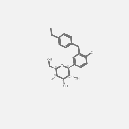 CCc1ccc(Cc2cc([C@@H]3O[C@H](CO)[C@@H](C)[C@H](O)[C@H]3O)ccc2Cl)cc1